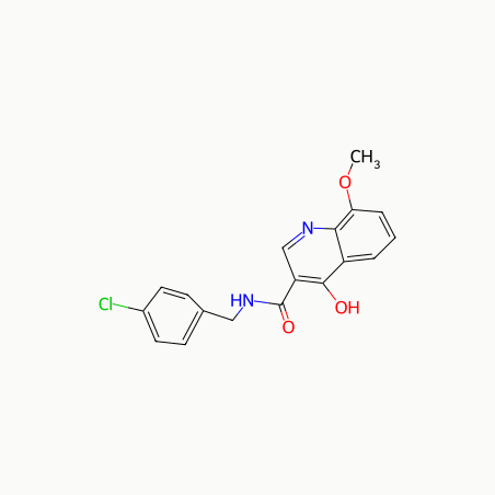 COc1cccc2c(O)c(C(=O)NCc3ccc(Cl)cc3)cnc12